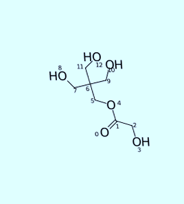 O=C(CO)OCC(CO)(CO)CO